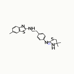 Cc1ccc2nc(NCCc3ccc(/N=C4/NC(C)(C)CS4)cc3)sc2c1